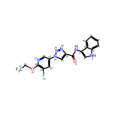 O=C(Nc1c[nH]c2ccccc12)c1cn(-c2cnc(OCC(F)(F)F)c(F)c2)nn1